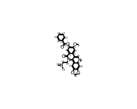 COc1cc2c(cc1OC(=O)c1ccccc1)c(=O)n(CCN(C)C)c1c3cc4c(cc3ncc21)OCO4